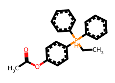 CC[PH](c1ccccc1)(c1ccccc1)c1ccc(OC(C)=O)cc1